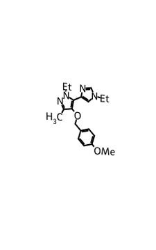 CCn1cnc(-c2c(OCc3ccc(OC)cc3)c(C)nn2CC)c1